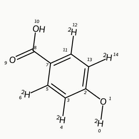 [2H]Oc1c([2H])c([2H])c(C(=O)O)c([2H])c1[2H]